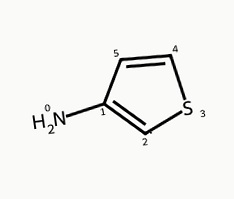 Nc1[c]scc1